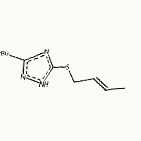 C/C=C/CSc1nc(C(C)(C)C)n[nH]1